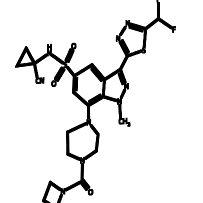 Cn1nc(-c2nnc(C(F)F)s2)c2cc(S(=O)(=O)NC3(C#N)CC3)cc(N3CCN(C(=O)N4CCC4)CC3)c21